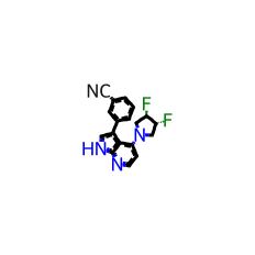 N#Cc1cccc(-c2c[nH]c3nccc(N4C[C@@H](F)[C@H](F)C4)c23)c1